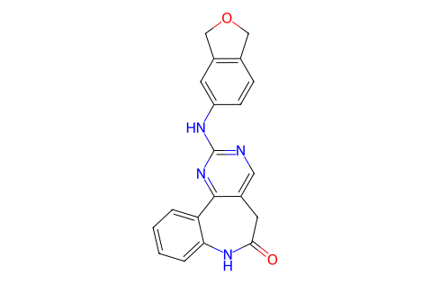 O=C1Cc2cnc(Nc3ccc4c(c3)COC4)nc2-c2ccccc2N1